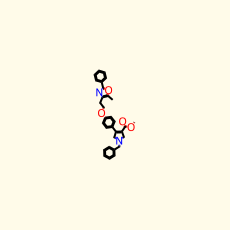 COC(=O)C1=C(c2ccc(OCCc3nc(-c4ccccc4)oc3C)cc2)CN(Cc2ccccc2)C1